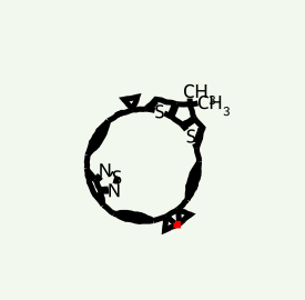 CC1(C)c2cc3sc2-c2sc(cc21)C1(CC1)C1(CC1)c1ccc(cc1)-c1ccc(c2nsnc12)-c1ccc(cc1)C1(CC1)C1(CC1)c1ccc-3cc1